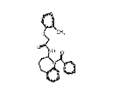 Cc1ccccc1OCC(=O)NC1CCCc2ccccc2N1C(=O)c1ccccc1